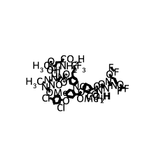 COC(=O)c1cc(Oc2ccc(Cl)cc2Cl)ccc1[N+](=O)[O-].COc1nc(C)nc(NC(=O)NS(=O)(=O)c2ccccc2CCC(F)(F)F)n1.CP(=O)(O)CCC(N)C(=O)O.O=C(Nc1nc(OC(F)F)cc(OC(F)F)n1)NS(=O)(=O)c1ccccc1C(=O)O